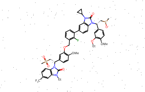 CCOc1cc([C@@H](C[S+](C)[O-])n2c(=O)n(C3CC3)c3cc(-c4cccc(COc5cc([C@@H](CS(C)(=O)=O)n6c(=O)n(CC)c7cc(C(F)(F)F)ccc76)ccc5OC)c4F)ccc32)ccc1OC